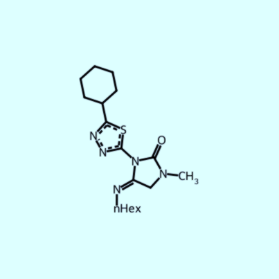 CCCCCCN=C1CN(C)C(=O)N1c1nnc(C2CCCCC2)s1